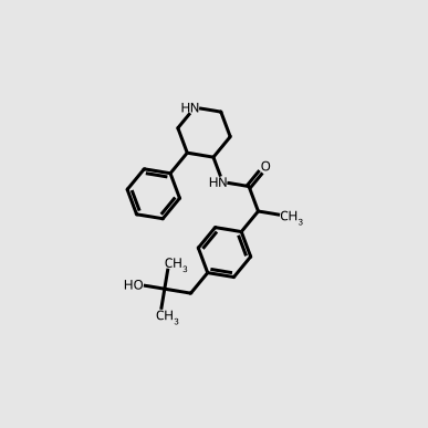 CC(C(=O)NC1CCNCC1c1ccccc1)c1ccc(CC(C)(C)O)cc1